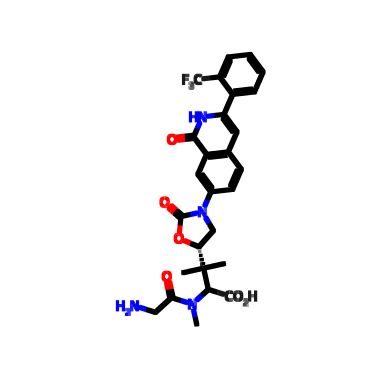 CN(C(=O)CN)C(C(=O)O)C(C)(C)[C@H]1CN(c2ccc3cc(-c4ccccc4C(F)(F)F)[nH]c(=O)c3c2)C(=O)O1